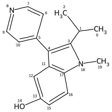 CC(C)c1c(-c2ccncc2)c2cc(O)ccc2n1C